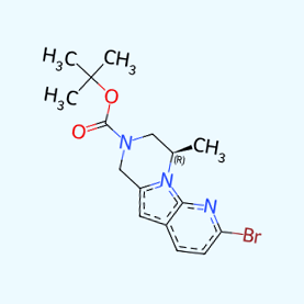 C[C@@H]1CN(C(=O)OC(C)(C)C)Cc2cc3ccc(Br)nc3n21